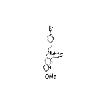 COc1ccc2cc(CNCCc3ccc(Br)cc3)c(-c3ccsc3)nc2n1